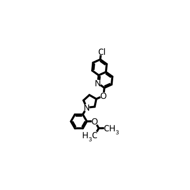 CC(C)Oc1ccccc1N1CCC(Oc2ccc3cc(Cl)ccc3n2)C1